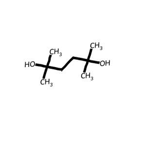 CC(C)(O)[CH]CC(C)(C)O